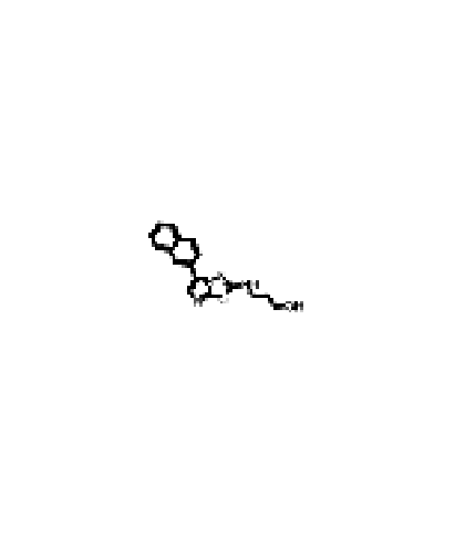 OCCCNc1nn2c(-c3ccc4ccccc4c3)cnc2s1